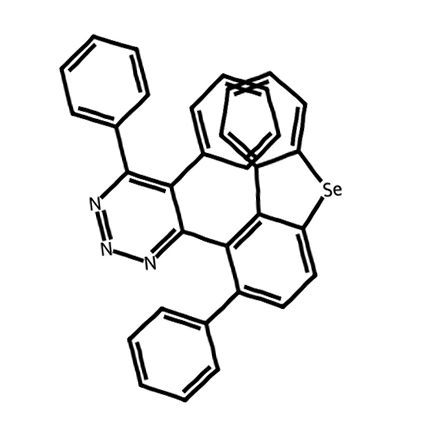 c1ccc(-c2ccc3[se]c4ccccc4c3c2-c2nnnc(-c3ccccc3)c2-c2ccccc2)cc1